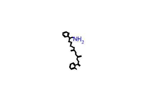 C=C(CCCCC(CN)c1ccccc1)CCC(=C)CCC(=C)c1ccccc1C